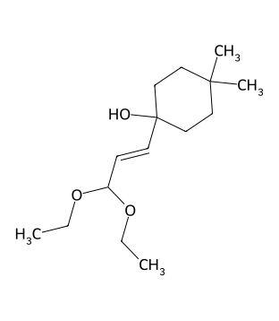 CCOC(/C=C/C1(O)CCC(C)(C)CC1)OCC